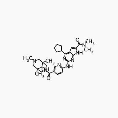 CN1CC2(C)CN(C(=O)c3ccc(Nc4nc(C5CCCC5)c5cc(C(=O)N(C)C)[nH]c5n4)nc3)CC(C)(C1)C2O